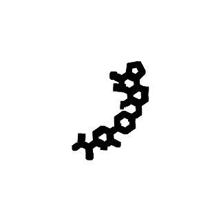 CNC(=O)c1ccc(N2CCN(Cc3cnc4c5c(c(=O)[nH]c4c3F)CCC5)CC2)c(C)n1